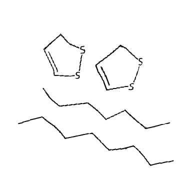 C1=CSSC1.C1=CSSC1.CCCCCCC.CCCCCCCC